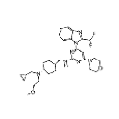 COCCN(CC1CC1)[C@H]1CC[C@H](CNc2nc(N3CCOCC3)cc(-n3c(C(F)F)nc4ccccc43)n2)CC1